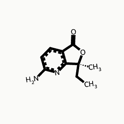 CC[C@]1(C)OC(=O)c2ccc(N)nc21